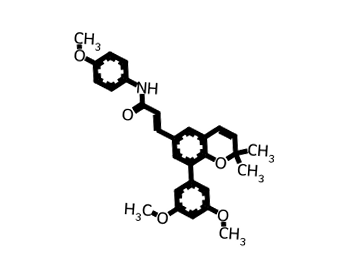 COc1ccc(NC(=O)C=Cc2cc3c(c(-c4cc(OC)cc(OC)c4)c2)OC(C)(C)C=C3)cc1